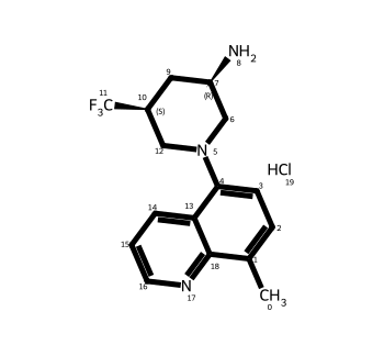 Cc1ccc(N2C[C@H](N)C[C@H](C(F)(F)F)C2)c2cccnc12.Cl